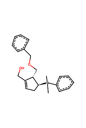 C[Si](C)(c1ccccc1)[C@H]1CC=C(CO)[C@@H]1COCc1ccccc1